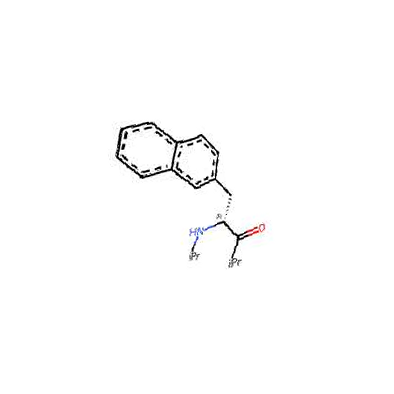 CC(C)N[C@H](Cc1ccc2ccccc2c1)C(=O)C(C)C